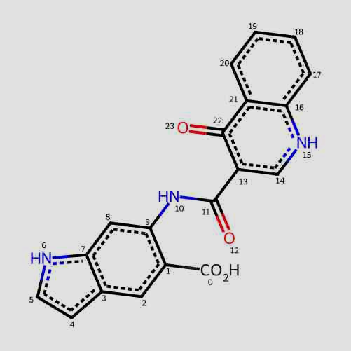 O=C(O)c1cc2cc[nH]c2cc1NC(=O)c1c[nH]c2ccccc2c1=O